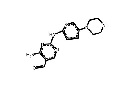 Nc1nc(Nc2ccc(N3CCNCC3)cn2)ncc1C=O